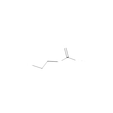 CCCCCC(=O)OCCC(C)(C)C